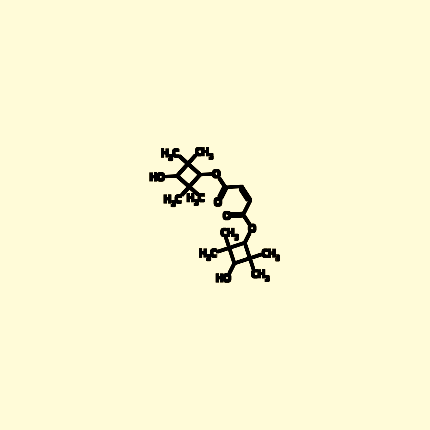 CC1(C)C(O)C(C)(C)C1OC(=O)/C=C\C(=O)OC1C(C)(C)C(O)C1(C)C